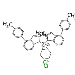 CC1=Cc2c(-c3ccc(C)cc3)cccc2[CH]1[Zr+2]1([CH]2C(C)=Cc3c(-c4ccc(C)cc4)cccc32)[CH]2CCCC[CH]21.[Cl-].[Cl-]